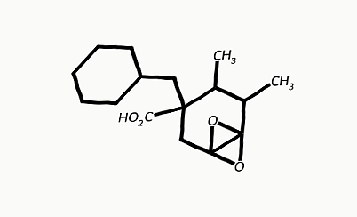 CC1C(C)C23OC2(CC1(CC1CCCCC1)C(=O)O)O3